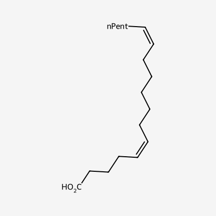 CCCCC/C=C\CCCCC/C=C\CCCC(=O)O